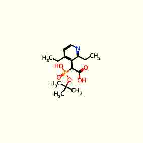 CCc1ccnc(CC)c1C(C(=O)O)P(=O)(O)OC(C)(C)C